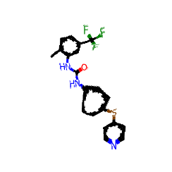 Cc1ccc(C(F)(F)F)cc1NC(=O)Nc1ccc(Sc2ccncc2)cc1